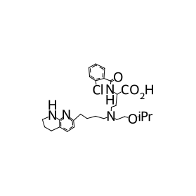 CC(C)OCCN(CCCCc1ccc2c(n1)NCCC2)CCC(NC(=O)c1ccccc1Cl)C(=O)O